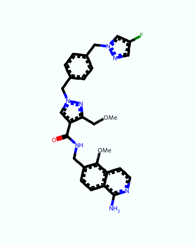 COCc1nn(Cc2ccc(Cn3cc(F)cn3)cc2)cc1C(=O)NCc1ccc2c(N)nccc2c1OC